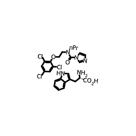 CCCN(CCOc1c(Cl)cc(Cl)cc1Cl)C(=O)n1ccnc1.N[C@@H](Cc1c[nH]c2ccccc12)C(=O)O